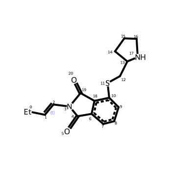 CC/C=C/N1C(=O)c2cccc(SCC3CCCN3)c2C1=O